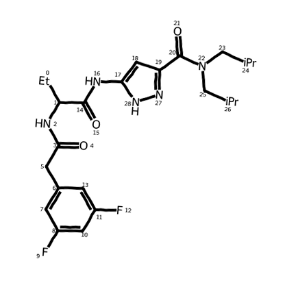 CCC(NC(=O)Cc1cc(F)cc(F)c1)C(=O)Nc1cc(C(=O)N(CC(C)C)CC(C)C)n[nH]1